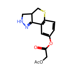 CC(=O)OCC(=O)Oc1ccc2c(c1)C1=NNCC1CS2